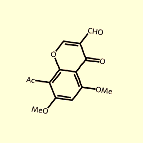 COc1cc(OC)c2c(=O)c(C=O)coc2c1C(C)=O